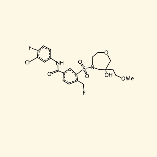 COCCC1(O)COCCN(S(=O)(=O)c2cc(C(=O)Nc3ccc(F)c(Cl)c3)ccc2CF)C1